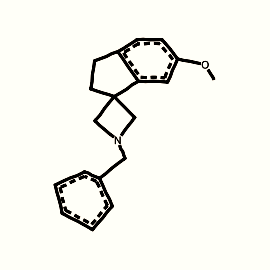 COc1ccc2c(c1)C1(CC2)CN(Cc2ccccc2)C1